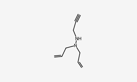 C#CCNN(CC=C)CC=C